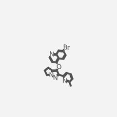 Cc1cccc(-c2nn3c(c2Oc2ccnc4cc(Br)ccc24)CCC3)n1